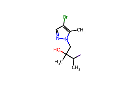 Cc1c(Br)cnn1CC(C)(O)[C@H](C)I